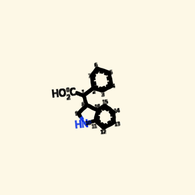 O=C(O)C(c1ccccc1)C1CNc2ccccc21